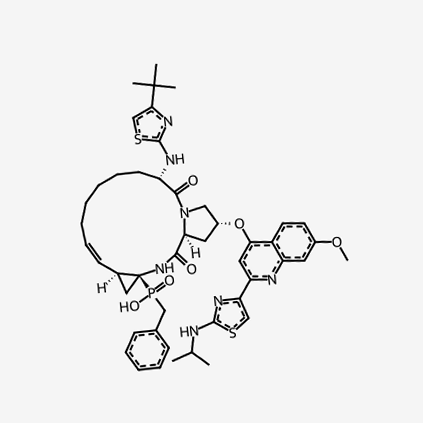 COc1ccc2c(O[C@@H]3C[C@H]4C(=O)N[C@]5(P(=O)(O)Cc6ccccc6)C[C@H]5/C=C\CCCCC[C@H](Nc5nc(C(C)(C)C)cs5)C(=O)N4C3)cc(-c3csc(NC(C)C)n3)nc2c1